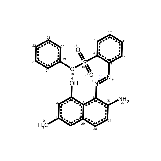 Cc1cc(O)c2c(/N=N/c3ccccc3S(=O)(=O)Oc3ccccc3)c(N)ccc2c1